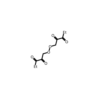 CCC(=O)C(=O)COOCC(=O)C(=O)CC